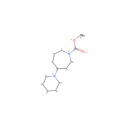 CC(C)(C)OC(=O)N1CCCC(N2CCCCC2)CC1